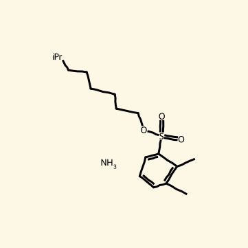 Cc1cccc(S(=O)(=O)OCCCCCCC(C)C)c1C.N